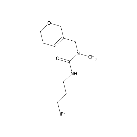 CC(C)CCCNC(=O)N(C)CC1=CCCOC1